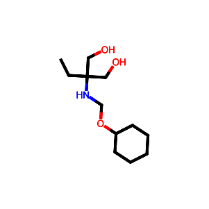 CCC(CO)(CO)NCOC1CCCCC1